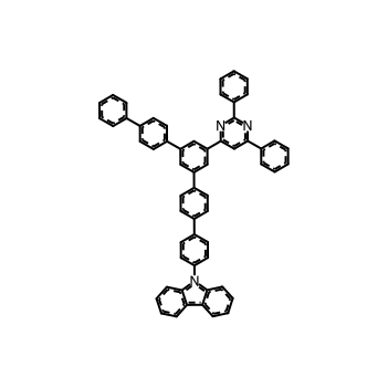 c1ccc(-c2ccc(-c3cc(-c4ccc(-c5ccc(-n6c7ccccc7c7ccccc76)cc5)cc4)cc(-c4cc(-c5ccccc5)nc(-c5ccccc5)n4)c3)cc2)cc1